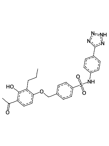 CCCc1c(OCc2ccc(S(=O)(=O)Nc3ccc(-c4nn[nH]n4)cc3)cc2)ccc(C(C)=O)c1O